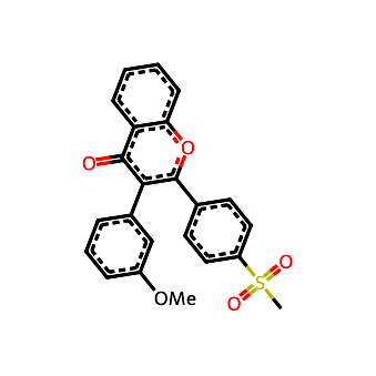 COc1cccc(-c2c(-c3ccc(S(C)(=O)=O)cc3)oc3ccccc3c2=O)c1